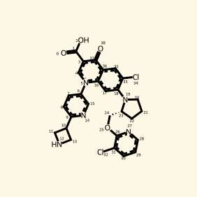 O=C(O)c1cn(-c2ccc(C3CNC3)nc2)c2cc(N3CCC[C@@H]3COc3ncccc3Cl)c(Cl)cc2c1=O